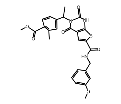 COC(=O)c1ccc(C(C)n2c(=O)[nH]c3sc(C(=O)NCc4cccc(OC)c4)cc3c2=O)cc1C